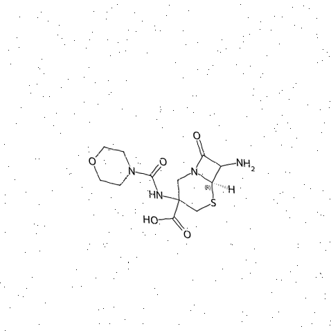 NC1C(=O)N2CC(NC(=O)N3CCOCC3)(C(=O)O)CS[C@H]12